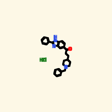 Cl.O=C(CCC1CCN(Cc2ccccc2)CC1)c1ccc2[nH]c(-c3ccccc3)nc2c1